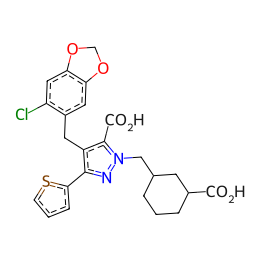 O=C(O)c1c(Cc2cc3c(cc2Cl)OCO3)c(-c2cccs2)nn1CC1CCCC(C(=O)O)C1